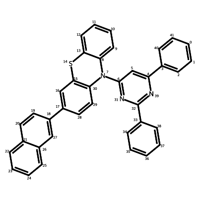 c1ccc(-c2cc(N3c4ccccc4Sc4cc(-c5ccc6ccccc6c5)ccc43)nc(-c3ccccc3)n2)cc1